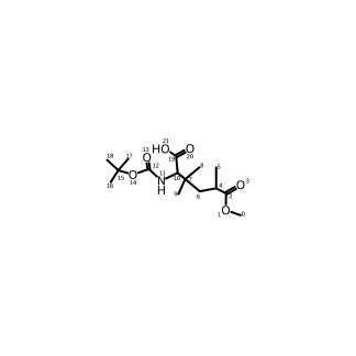 COC(=O)C(C)CC(C)(C)C(NC(=O)OC(C)(C)C)C(=O)O